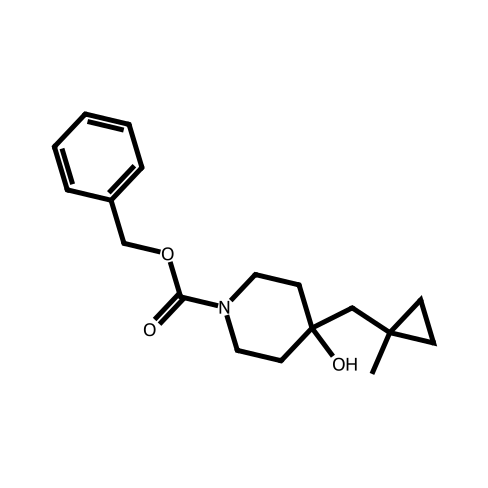 CC1(CC2(O)CCN(C(=O)OCc3ccccc3)CC2)CC1